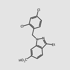 CCc1nn(Cc2ccc(Cl)cc2Cl)c2cc(C(=O)O)ccc12